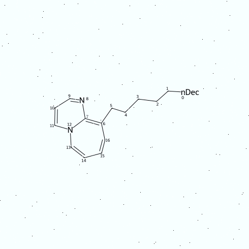 CCCCCCCCCCCCCCCC1=C2N=CC=CN2C=CC=C1